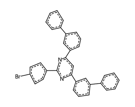 Brc1ccc(-c2nc(-c3cccc(-c4ccccc4)c3)cc(-c3cccc(-c4ccccc4)c3)n2)cc1